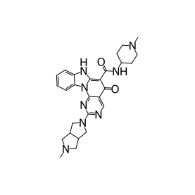 CN1CCC(NC(=O)c2c(=O)c3cnc(N4CC5CN(C)CC5C4)nc3n3c2[nH]c2ccccc23)CC1